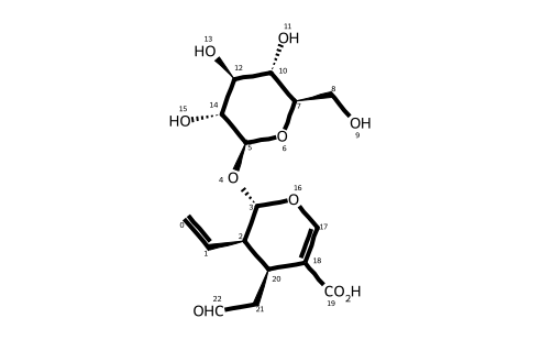 C=C[C@H]1[C@H](O[C@@H]2O[C@H](CO)[C@@H](O)[C@H](O)[C@H]2O)OC=C(C(=O)O)[C@H]1CC=O